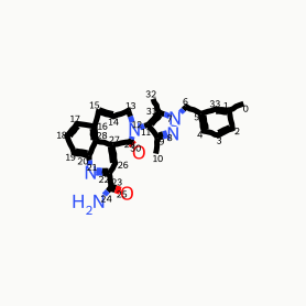 Cc1cccc(Cn2nc(C)c(N3C/C=C/c4cccc5nc(C(N)=O)cc(c45)C3=O)c2C)c1